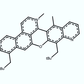 Cc1c2c(c(CC(C)(C)C)c3ncccc13)Oc1cc3c(CC(C)(C)C)cccc3c3cc[n+](C)c-2c13